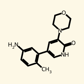 Cc1ccc(N)cc1-c1c[nH]c(=O)c(N2CCOCC2)c1